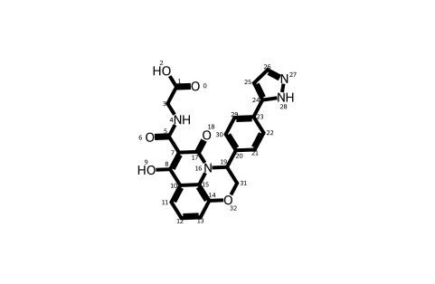 O=C(O)CNC(=O)c1c(O)c2cccc3c2n(c1=O)C(c1ccc(-c2ccn[nH]2)cc1)CO3